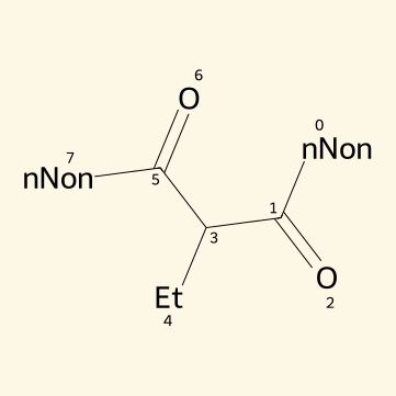 CCCCCCCCCC(=O)C(CC)C(=O)CCCCCCCCC